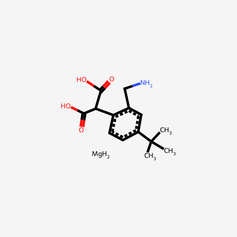 CC(C)(C)c1ccc(C(C(=O)O)C(=O)O)c(CN)c1.[MgH2]